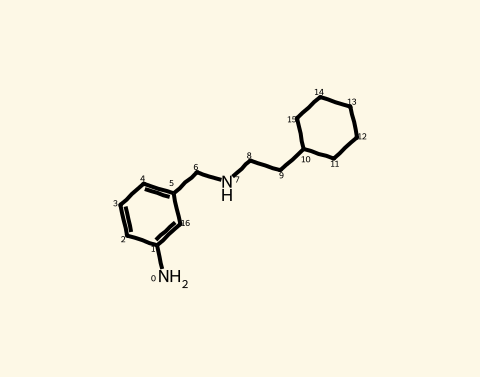 Nc1cccc(CNCCC2CCCCC2)c1